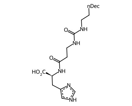 CCCCCCCCCCCCNC(=O)NCCC(=O)N[C@@H](Cc1c[nH]cn1)C(=O)O